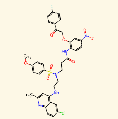 COc1ccc(S(=O)(=O)N(CCNc2cc(C)nc3ccc(Cl)cc23)CCC(=O)Nc2ccc([N+](=O)[O-])cc2OCC(=O)c2ccc(F)cc2)cc1